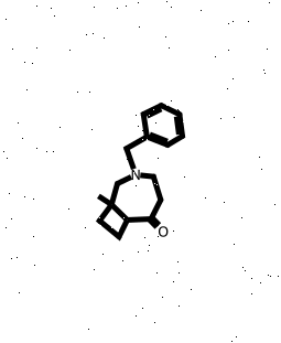 CC12CCC1C(=O)CCN(Cc1ccccc1)C2